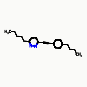 CCCCCc1ccc(C#Cc2ccc(CCCC)cc2)nn1